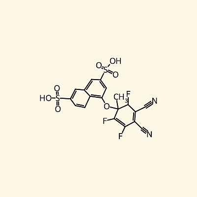 CC1(Oc2cc(S(=O)(=O)O)cc3cc(S(=O)(=O)O)ccc23)C(F)=C(F)C(C#N)=C(C#N)C1F